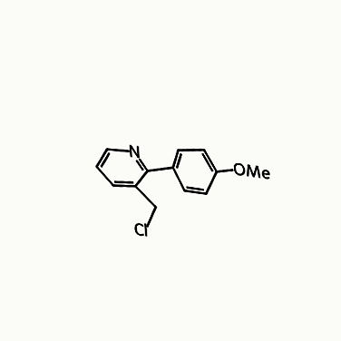 COc1ccc(-c2ncccc2CCl)cc1